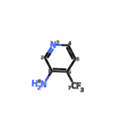 Nc1cnccc1C(F)(F)F